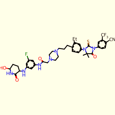 CCc1cc(N2C(=S)N(c3ccc(C#N)c(C(F)(F)F)c3)C(=O)C2(C)C)ccc1CCCN1CCN(CC(=O)Nc2cc(F)cc(NC3CCC(O)NC3=O)c2)CC1